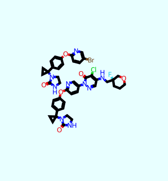 O=C1NCCN1C1(c2ccc(Oc3ccc(-n4ncc(NCC5(F)CCCOC5)c(Cl)c4=O)cn3)cc2)CC1.O=C1NCCN1C1(c2ccc(Oc3ccc(Br)cn3)cc2)CC1